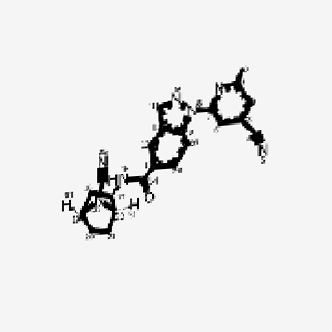 Cc1cc(C#N)cc(-n2ncc3cc(C(=O)N[C@@H]4C[C@@H]5CC[C@H]4N5C#N)ccc32)n1